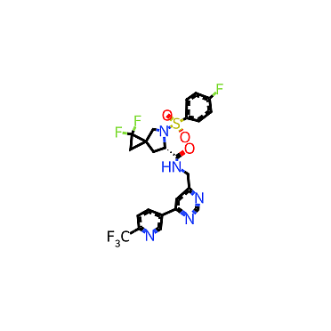 O=C(NCc1cc(-c2ccc(C(F)(F)F)nc2)ncn1)[C@@H]1CC2(CN1S(=O)(=O)c1ccc(F)cc1)CC2(F)F